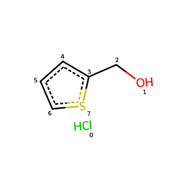 Cl.OCc1cccs1